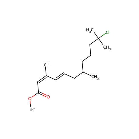 CC(C=CCC(C)CCCC(C)(C)Cl)=CC(=O)OC(C)C